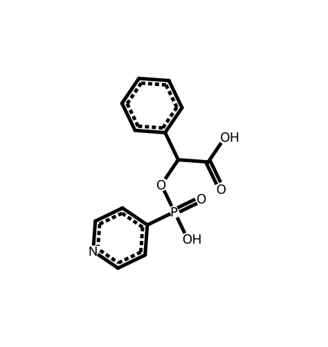 O=C(O)C(OP(=O)(O)c1ccncc1)c1ccccc1